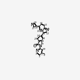 Cc1ccnc(N2Cc3cc(-c4cnc5ccc(C6=CN=C6)cn45)ccc3C2=O)c1